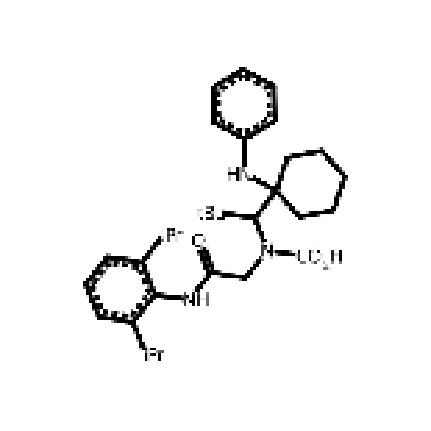 CC(C)c1cccc(C(C)C)c1NC(=O)CN(C(=O)O)C(C(C)(C)C)C1(Nc2ccccc2)CCCCC1